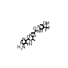 CC(NC(=O)c1ncnc(N)c1F)c1ncc(C(=O)Nc2cc(C(F)(F)F)c(O)cn2)s1